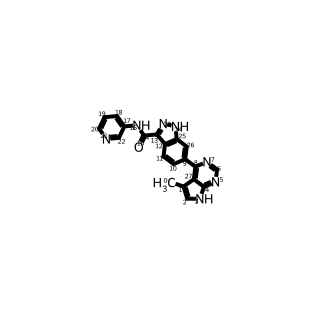 Cc1c[nH]c2ncnc(-c3ccc4c(C(=O)Nc5cccnc5)n[nH]c4c3)c12